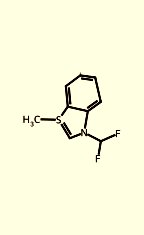 CS1=CN(C(F)F)c2cc[c]cc21